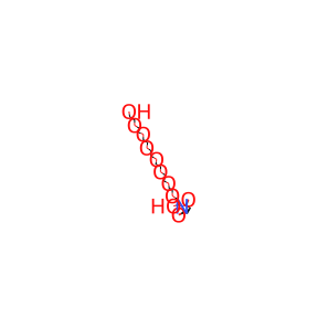 O=C1C=CC(=O)N1C(O)COCCOCCOCCOCCOCCOCCOCCO